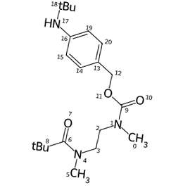 CN(CCN(C)C(=O)C(C)(C)C)C(=O)OCc1ccc(NC(C)(C)C)cc1